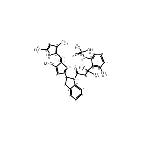 COC1=CC(C2Cc3ccccc3N2C(=O)CC(C)(C)c2c(C)cccc2OP(=O)(O)O)=N/C1=C/c1[nH]c(C)cc1C